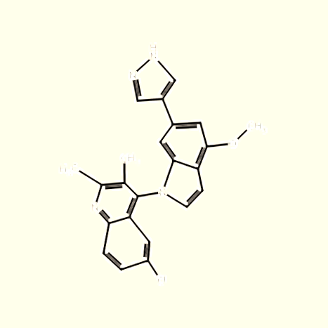 COc1cc(-c2cn[nH]c2)cc2c1ccn2-c1c(C)c(C)nc2ccc(Cl)cc12